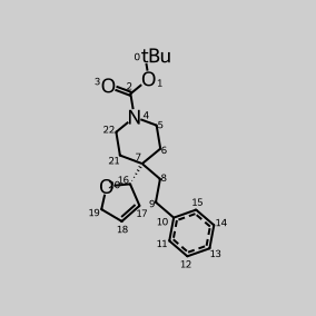 CC(C)(C)OC(=O)N1CCC(CCc2ccccc2)([C@@H]2C=CCO2)CC1